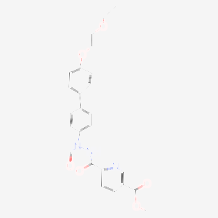 CCOCCOc1ccc(-c2ccc(N(C=O)NC(=O)c3ccc(C(=O)OC)cn3)cc2)cc1